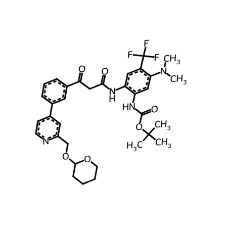 CN(C)c1cc(NC(=O)OC(C)(C)C)c(NC(=O)CC(=O)c2cccc(-c3ccnc(COC4CCCCO4)c3)c2)cc1C(F)(F)F